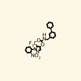 O=C(NCc1cccc(-c2ccccc2)c1)Oc1cnn(-c2ccccc2[N+](=O)[O-])c1C(F)(F)F